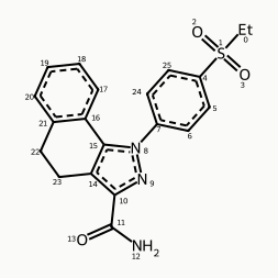 CCS(=O)(=O)c1ccc(-n2nc(C(N)=O)c3c2-c2ccccc2CC3)cc1